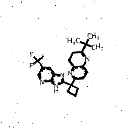 CC(C)(C)C1=Nc2ccc(C3(c4nc5cc(C(F)(F)F)cnc5[nH]4)CCC3)nc2CC1